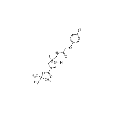 CC(C)(C)OC(=O)N1C[C@@H]2C(NC(=O)COc3ccc(Cl)cc3)[C@@H]2C1